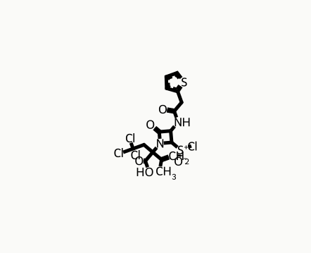 C=C(C)C(CC(Cl)(Cl)Cl)(C(=O)O)N1C(=O)C(NC(=O)Cc2cccs2)C1[S+]([O-])Cl